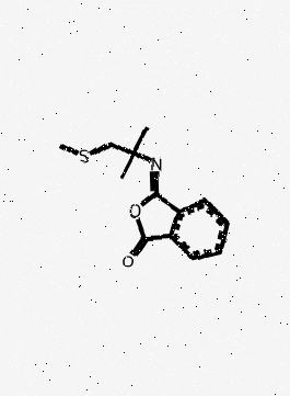 CSCC(C)(C)N=C1OC(=O)c2ccccc21